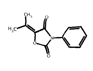 CC(C)=C1OC(=O)N(c2ccccc2)C1=O